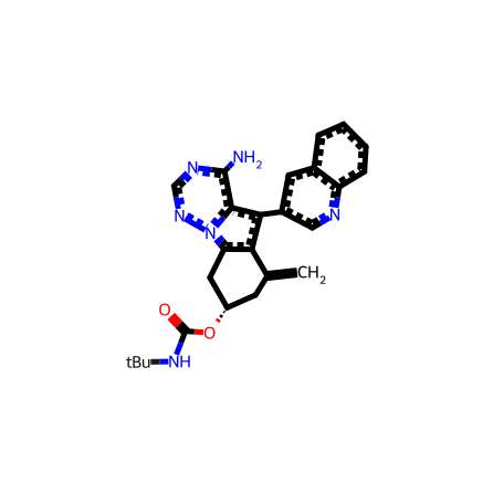 C=C1C[C@H](OC(=O)NC(C)(C)C)Cc2c1c(-c1cnc3ccccc3c1)c1c(N)ncnn21